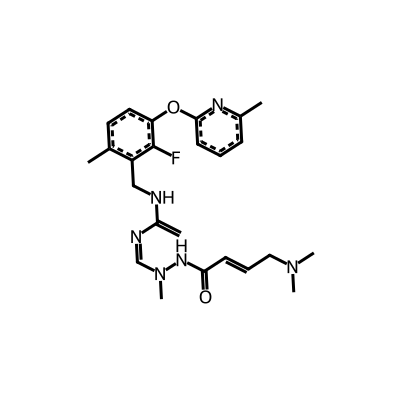 C=C(/N=C\N(C)NC(=O)/C=C/CN(C)C)NCc1c(C)ccc(Oc2cccc(C)n2)c1F